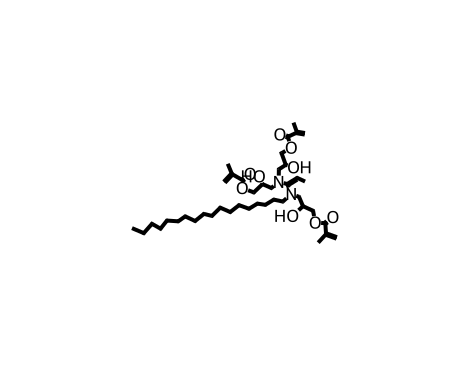 C=C(C)C(=O)OCC(O)CN(CCCCCCCCCCCCCCCCCC)C(=CC)N(CC(O)COC(=O)C(=C)C)CC(O)COC(=O)C(=C)C